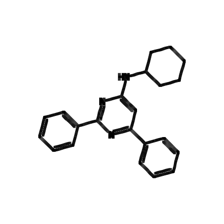 c1ccc(-c2cc(NC3CCCCC3)nc(-c3ccccc3)n2)cc1